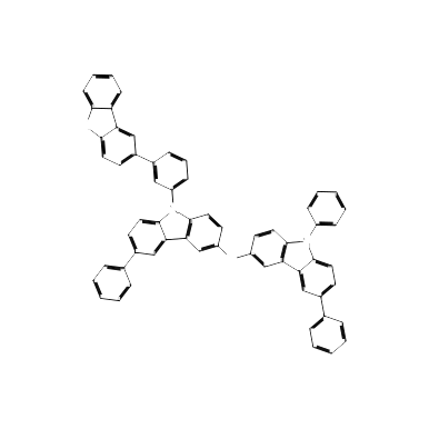 c1ccc(-c2ccc3c(c2)c2cc(Sc4ccc5c(c4)c4cc(-c6ccccc6)ccc4n5-c4cccc(-c5ccc6sc7ccccc7c6c5)c4)ccc2n3-c2ccccc2)cc1